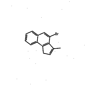 CC1=CCc2c1c(Br)cc1ccccc21